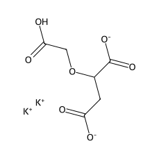 O=C([O-])CC(OCC(=O)O)C(=O)[O-].[K+].[K+]